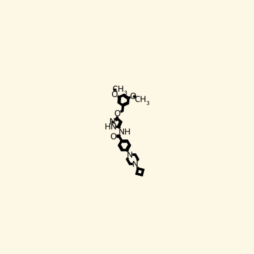 COc1cc(COc2cc(NC(=O)c3ccc(N4CCN(C5CCC5)CC4)cc3)[nH]n2)cc(OC)c1